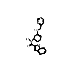 CCN(C(=O)c1cc2ccccc2[nH]1)C1CCC=C(NCc2ccncn2)C1